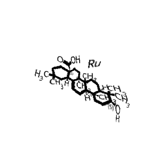 CC1(C)CC[C@]2(C(=O)O)CC[C@]3(C)C(=CC[C@@H]4[C@@]5(C)CC[C@H](O)C(C)(C)[C@@H]5CC[C@]43C)[C@@H]2C1.[Ru]